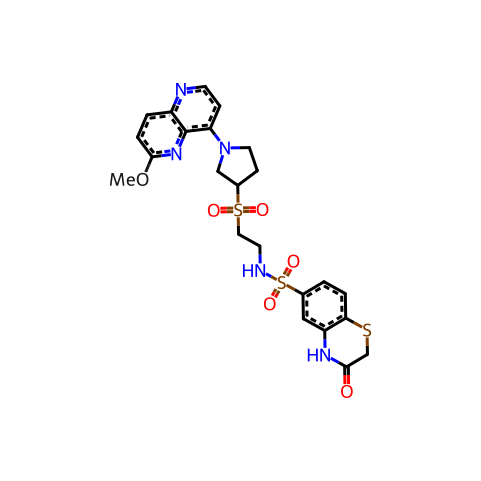 COc1ccc2nccc(N3CCC(S(=O)(=O)CCNS(=O)(=O)c4ccc5c(c4)NC(=O)CS5)C3)c2n1